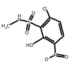 CNS(=O)(=O)c1c(Cl)ccc([N+](=O)[O-])c1O